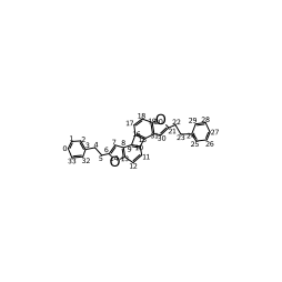 c1ccc(CCc2cc3c4c(ccc3o2)-c2c-4ccc3oc(CCc4ccccc4)cc23)cc1